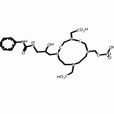 O=C(O)CN1CCN(CO[PH](=O)O)CCN(CC(=O)O)CCN(CC(O)CNC(=O)Nc2ccccc2)CC1